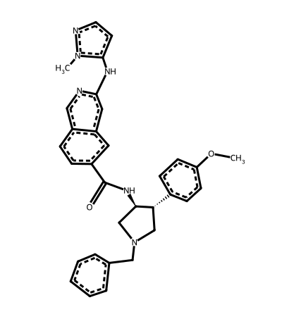 COc1ccc([C@@H]2CN(Cc3ccccc3)C[C@H]2NC(=O)c2ccc3cnc(Nc4ccnn4C)cc3c2)cc1